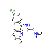 CCNCCNC(c1ccc(F)cc1)c1cccc(C)n1